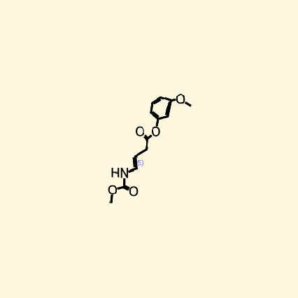 COC(=O)N/C=C/CC(=O)Oc1cccc(OC)c1